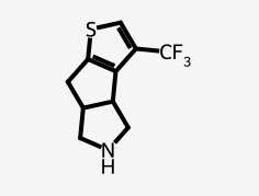 FC(F)(F)c1csc2c1C1CNCC1C2